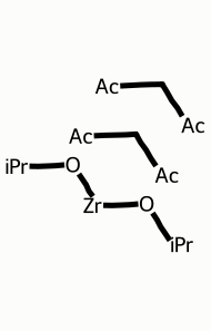 CC(=O)CC(C)=O.CC(=O)CC(C)=O.CC(C)[O][Zr][O]C(C)C